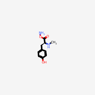 CN[C@@H](Cc1ccc(O)cc1)C(=O)ON